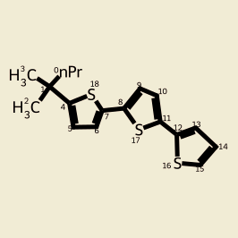 CCCC(C)(C)c1ccc(-c2ccc(-c3cccs3)s2)s1